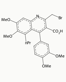 CCCc1c(OC)c(OC)cc2nc(CBr)c(C(=O)O)c(-c3ccc(OC)c(OC)c3)c12